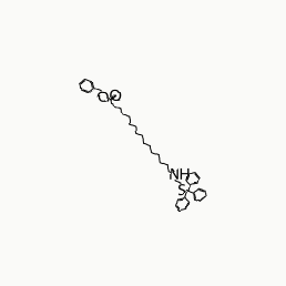 O=C(CCCCCCCCCCCCCCCNCCSC(c1ccccc1)(c1ccccc1)c1ccccc1)OCc1ccccc1